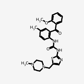 COc1ccccc1C(=O)c1cc(C)ccc1NC(=O)Nc1ncc(CN2CCN(C)CC2)s1